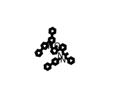 C=C1C(c2ccccc2)=NC(c2ccc(-c3ccccc3)cc2)=NC1c1cccc2c1C1CC=CC(n3c4ccc(-c5ccccc5)cc4c4ccc(-c5ccccc5)cc43)C1O2